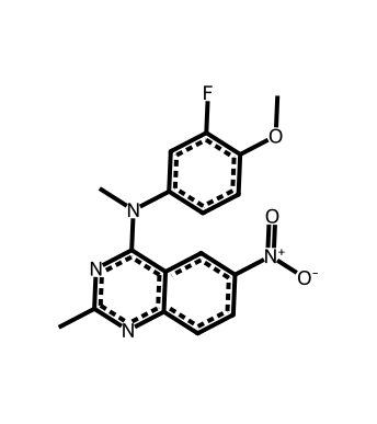 COc1ccc(N(C)c2nc(C)nc3ccc([N+](=O)[O-])cc23)cc1F